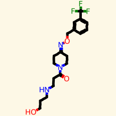 O=C(CCNCCCO)N1CCC(=NOCc2cccc(C(F)(F)F)c2)CC1